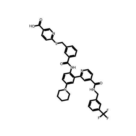 O=C(O)c1ccc(SCc2cccc(C(=O)Nc3ccc(N4CCCCC4)cc3-c3cc(C(=O)NCc4cccc(C(F)(F)F)c4)ccn3)c2)nc1